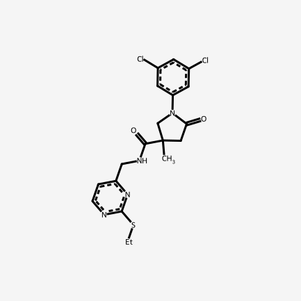 CCSc1nccc(CNC(=O)C2(C)CC(=O)N(c3cc(Cl)cc(Cl)c3)C2)n1